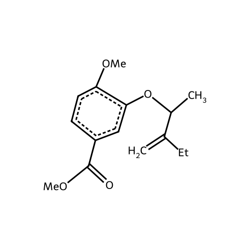 C=C(CC)C(C)Oc1cc(C(=O)OC)ccc1OC